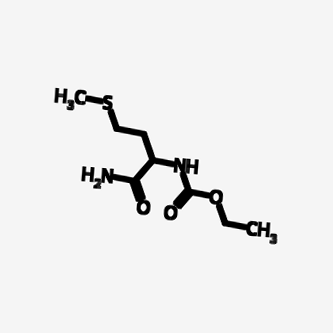 CCOC(=O)NC(CCSC)C(N)=O